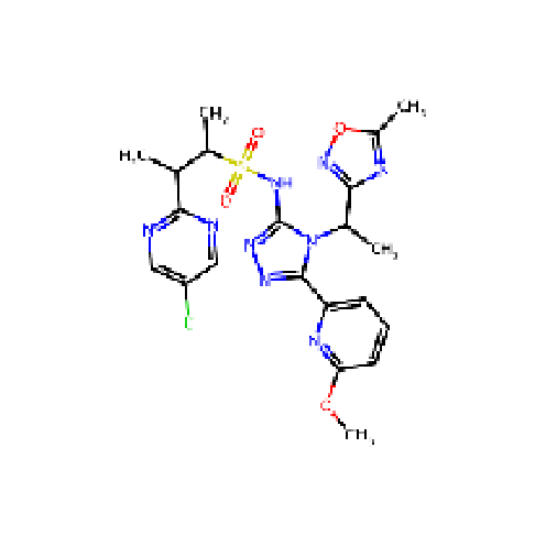 COc1cccc(-c2nnc(NS(=O)(=O)C(C)C(C)c3ncc(Cl)cn3)n2C(C)c2noc(C)n2)n1